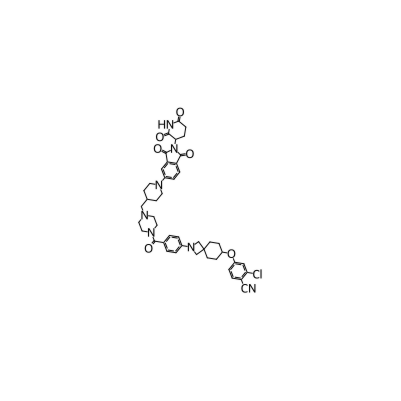 N#Cc1ccc(OC2CCC3(CC2)CN(c2ccc(C(=O)N4CCN(CC5CCN(c6ccc7c(c6)C(=O)N(C6CCC(=O)NC6=O)C7=O)CC5)CC4)cc2)C3)cc1Cl